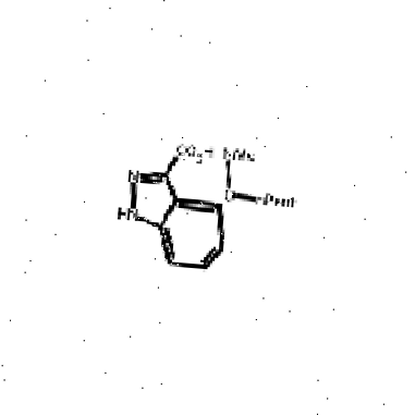 CCCCCONC.O=C(O)c1n[nH]c2ccccc12